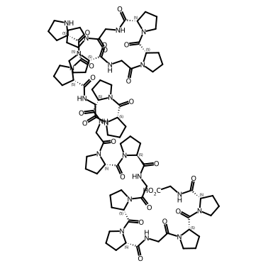 O=C(O)CNC(=O)[C@@H]1CCCN1C(=O)[C@@H]1CCCN1C(=O)CNC(=O)[C@@H]1CCCN1C(=O)[C@@H]1CCCN1C(=O)CNC(=O)[C@@H]1CCCN1C(=O)[C@@H]1CCCN1C(=O)CNC(=O)[C@@H]1CCCN1C(=O)[C@@H]1CCCN1C(=O)CNC(=O)[C@@H]1CCCN1C(=O)[C@@H]1CCCN1C(=O)CNC(=O)[C@@H]1CCCN1C(=O)[C@@H]1CCCN1C(=O)CNC(=O)[C@@H]1CCCN1C(=O)[C@@H]1CCCN1